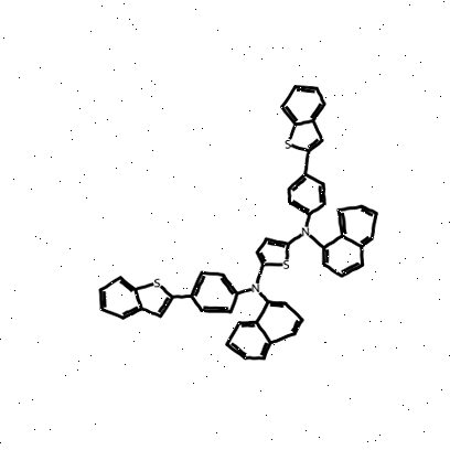 c1ccc2sc(-c3ccc(N(c4ccc(N(c5ccc(-c6cc7ccccc7s6)cc5)c5cccc6ccccc56)s4)c4cccc5ccccc45)cc3)cc2c1